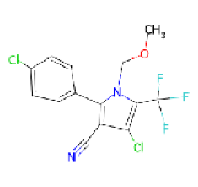 COCn1c(-c2ccc(Cl)cc2)c(C#N)c(Cl)c1C(F)(F)F